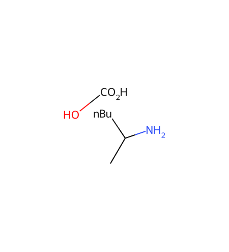 CCCCC(C)N.O=C(O)O